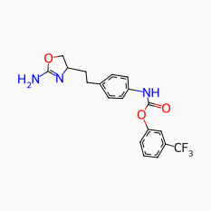 NC1=NC(CCc2ccc(NC(=O)Oc3cccc(C(F)(F)F)c3)cc2)CO1